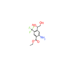 CCOC(=O)c1cc(C(F)(F)F)c(C(O)CO)cc1N